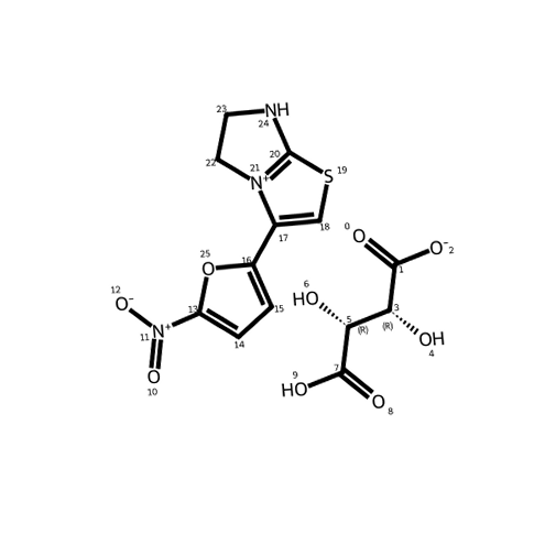 O=C([O-])[C@H](O)[C@@H](O)C(=O)O.O=[N+]([O-])c1ccc(-c2csc3[n+]2CCN3)o1